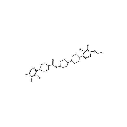 CCOc1ccc(C2CCC(C3CCC(OC(=O)C4CCC(c5ccc(C)c(F)c5F)CC4)CC3)CC2)c(F)c1F